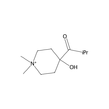 CC(C)C(=O)C1(O)CC[N+](C)(C)CC1